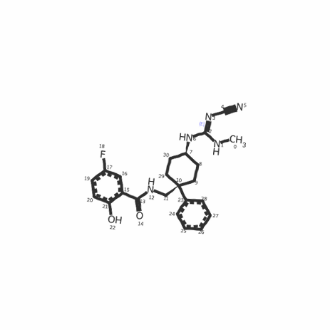 CN/C(=N\C#N)N[C@H]1CC[C@](CNC(=O)c2cc(F)ccc2O)(c2ccccc2)CC1